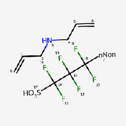 C=CCNCC=C.CCCCCCCCCC(F)(F)C(F)(F)C(F)(F)S(=O)(=O)O